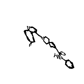 O=C(Nc1ccccc1)C1CC2(CCN(c3ccnc4ccc(F)cc34)CC2)C1